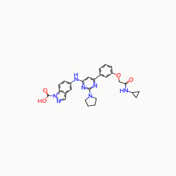 O=C(COc1cccc(-c2cc(Nc3ccc4c(cnn4C(=O)O)c3)nc(N3CCCC3)n2)c1)NC1CC1